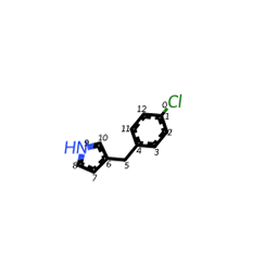 Clc1ccc(Cc2cc[nH]c2)cc1